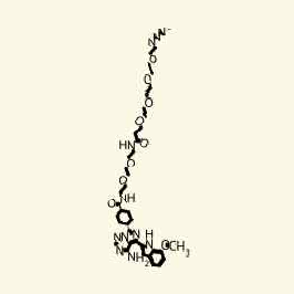 COc1cccc2cc(-c3nc([C@H]4CC[C@H](C(=O)NCCOCCOCCNC(=O)CCOCCOCCOCCOCCN=[N+]=[N-])CC4)n4ncnc(N)c34)[nH]c12